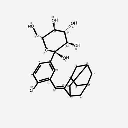 OC[C@H]1O[C@@](O)(c2ccc(Cl)c(C=C3C4CC5CC(C4)CC3C5)c2)[C@H](O)[C@@H](O)[C@@H]1O